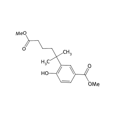 COC(=O)CCCC(C)(C)c1cc(C(=O)OC)ccc1O